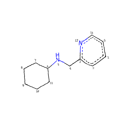 c1ccc(CNC2CCCCC2)nc1